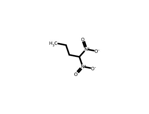 CCCC([N+](=O)[O-])[N+](=O)[O-]